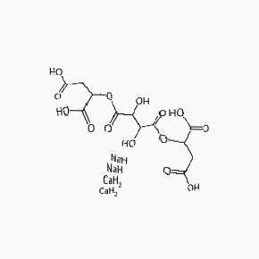 O=C(O)CC(OC(=O)C(O)C(O)C(=O)OC(CC(=O)O)C(=O)O)C(=O)O.[CaH2].[CaH2].[NaH].[NaH]